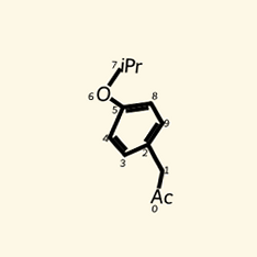 CC(=O)Cc1ccc(OC(C)C)cc1